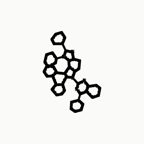 c1ccc(-c2nc(-n3c4ccc5nc(-c6ccccc6)n(-c6ccccc6)c5c4c4c5ccccc5c5ccccc5c43)nc3ccccc23)cc1